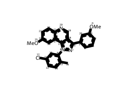 COc1cccc(-c2nn(-c3cc(Cl)ccc3C)c3c2cnc2ccc(OC)cc23)c1